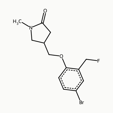 CN1CC(COc2ccc(Br)cc2CF)CC1=O